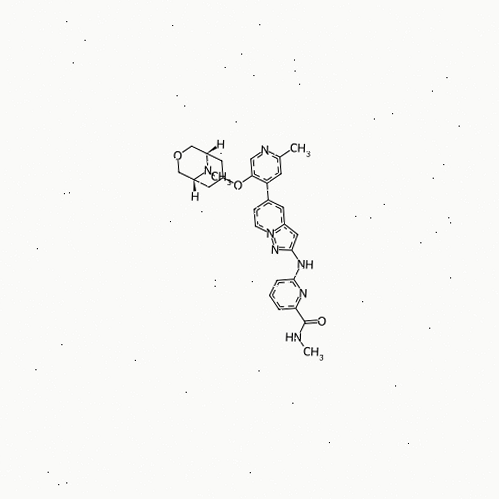 CNC(=O)c1cccc(Nc2cc3cc(-c4cc(C)ncc4OC4C[C@H]5COC[C@@H](C4)N5C)ccn3n2)n1